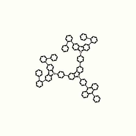 c1ccc(-c2ccccc2-c2ccc3c(c2)c2cc(-c4ccccc4-c4ccccc4)ccc2n3-c2ccc(-c3ccc4c(c3)c3cc(-c5ccc(-n6c7ccc(-c8ccccc8-c8ccccc8)cc7c7cc(-c8ccccc8-c8ccccc8)ccc76)cc5)ccc3n4-c3ccc(-c4c5ccccc5c(-c5ccccc5)c5ccccc45)cc3)cc2)cc1